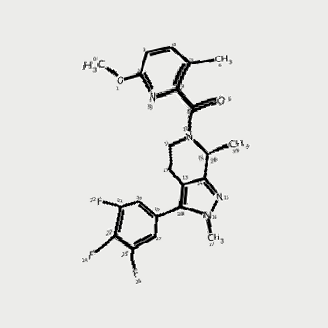 COc1ccc(C)c(C(=O)N2CCc3c(nn(C)c3-c3cc(F)c(F)c(F)c3)[C@@H]2C)n1